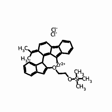 CC(C)=c1ccc2c(c1C1C(OCCO[Si](C)(C)C)=Cc3ccccc31)[C]([Zr+2])=c1ccccc1=2.[Cl-].[Cl-]